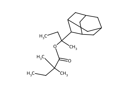 CCC(C)(C)C(=O)OC(C)(CC)C1C2CC3CC(C2)CC1C3